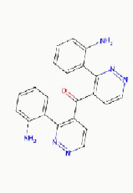 Nc1ccccc1-c1nnccc1C(=O)c1ccnnc1-c1ccccc1N